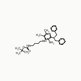 Cc1nc(N(Cc2ccccc2)Cc2ccccc2)c(N)c(NCCCCNC(=O)OC(C)(C)C)c1C